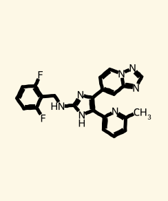 Cc1cccc(-c2[nH]c(NCc3c(F)cccc3F)nc2-c2ccn3ncnc3c2)n1